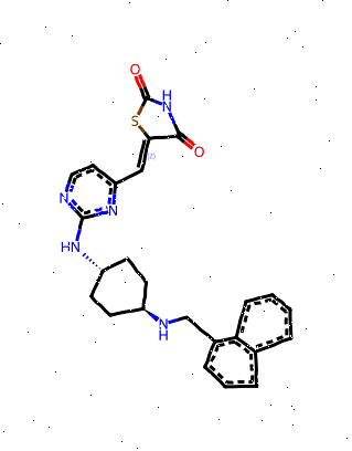 O=C1NC(=O)/C(=C/c2ccnc(N[C@H]3CC[C@H](NCc4cccc5ccccc45)CC3)n2)S1